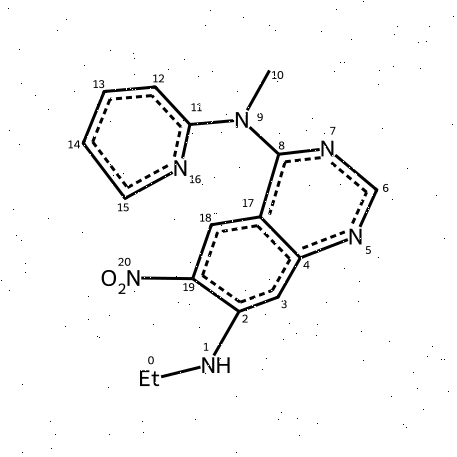 CCNc1cc2ncnc(N(C)c3ccccn3)c2cc1[N+](=O)[O-]